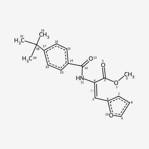 COC(=O)/C(=C\c1ccco1)NC(=O)c1ccc(C(C)(C)C)cc1